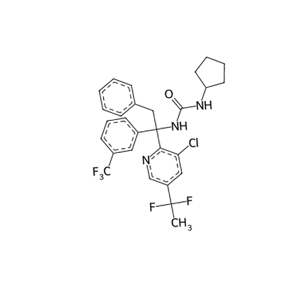 CC(F)(F)c1cnc(C(Cc2ccccc2)(NC(=O)NC2CCCC2)c2cccc(C(F)(F)F)c2)c(Cl)c1